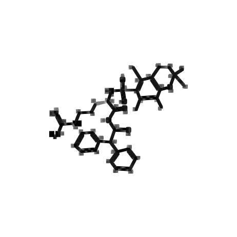 Cc1c(C)c(S(=O)(=O)N[C@@H](CCCNC(=N)N)C(=O)OC(=O)C(c2ccccc2)c2ccccc2)c(C)c2c1OC(C)(C)CC2